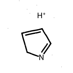 C1=CCN=C1.[H+]